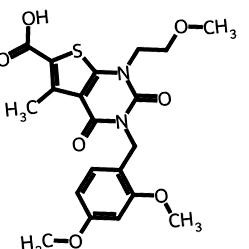 COCCn1c(=O)n(Cc2ccc(OC)cc2OC)c(=O)c2c(C)c(C(=O)O)sc21